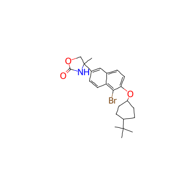 CC1(c2ccc3c(Br)c(OC4CCC(C(C)(C)C)CC4)ccc3c2)COC(=O)N1